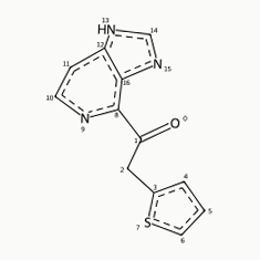 O=C(Cc1cccs1)c1nccc2[nH]cnc12